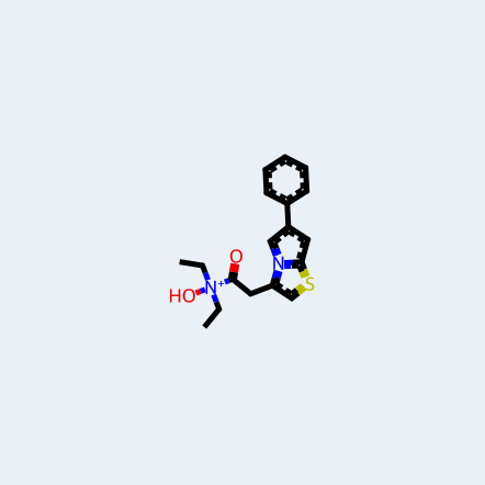 CC[N+](O)(CC)C(=O)Cc1csc2cc(-c3ccccc3)cn12